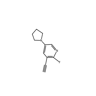 C#Cc1cc(N2CCCC2)cnc1F